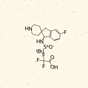 CC(C)(C)[S@+]([O-])N[C@@H]1c2ccc(F)cc2CC12CCNCC2.O=C(O)C(F)(F)F